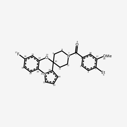 CCc1ccc(C(=O)N2CCC3(CC2)Oc2cc(F)ccc2-n2cccc23)cc1OC